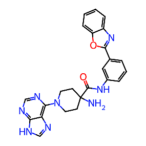 NC1(C(=O)Nc2cccc(-c3nc4ccccc4o3)c2)CCN(c2ncnc3[nH]cnc23)CC1